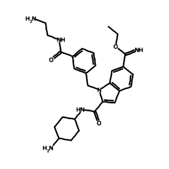 CCOC(=N)c1ccc2cc(C(=O)NC3CCC(N)CC3)n(Cc3cccc(C(=O)NCCN)c3)c2c1